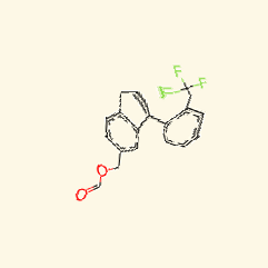 O=COCc1ccc2c(c1)C(c1ccccc1C(F)(F)F)=CC2